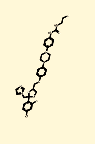 O=C(NCCCl)Nc1ccc(N2CCN(c3ccc(OCC4COC(Cn5ccnc5)(c5ccc(Cl)cc5Cl)O4)cc3)CC2)cc1